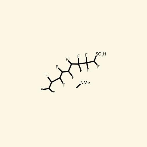 CNC.O=S(=O)(O)C(F)C(F)(F)C(F)(F)C(F)C(F)C(F)C(F)C(F)C(F)F